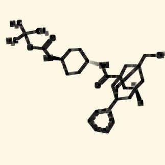 CC(C)(C)OC(=O)N[C@H]1CC[C@H](NC(=O)C23C[C@@H]4CC(CO)(C2)CC(c2ccccc2)(C4)C3)CC1